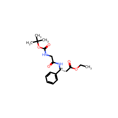 CCOC(=O)C[C@@H](NC(=O)CNC(=O)OC(C)(C)C)c1ccccc1